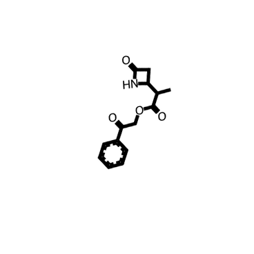 CC(C(=O)OCC(=O)c1ccccc1)C1CC(=O)N1